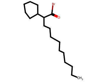 CCCCCCCCCCC(C(=O)Br)C1CCCCC1